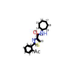 CC(=O)c1ccccc1-c1nc(C(=O)NC2CCCCCC2)cs1